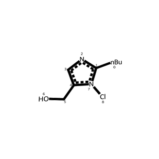 CCCCc1ncc(CO)n1Cl